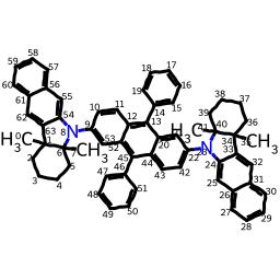 CC12CCCCC1(C)N(c1ccc3c(-c4ccccc4)c4cc(N5c6cc7ccccc7cc6C6(C)CCCCC56C)ccc4c(-c4ccccc4)c3c1)c1cc3ccccc3cc12